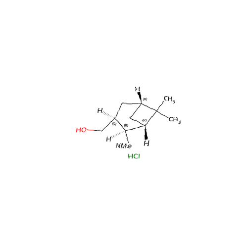 CN[C@H]1[C@@H](CO)C[C@H]2C[C@@H]1C2(C)C.Cl